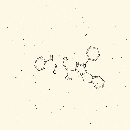 N#C/C(C(=O)Nc1ccccc1)=C(/O)c1nn(-c2ccccc2)c2c1Cc1ccccc1-2